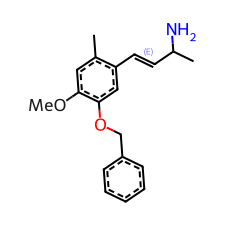 COc1cc(C)c(/C=C/C(C)N)cc1OCc1ccccc1